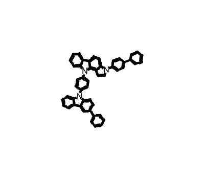 c1ccc(-c2ccc(-n3ccc4c3ccc3c5ccccc5n(-c5ccc(-n6c7ccccc7c7cc(-c8ccccc8)ccc76)cc5)c34)cc2)cc1